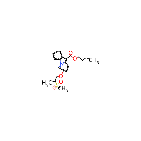 CCCCOC(=O)c1c2ccccc2n2cc(OCC(C)S(C)(=O)=O)ccc12